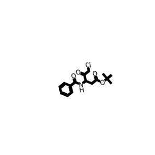 CC(C)(C)OC(=O)CC(NC(=O)c1ccccc1)C(=O)CCl